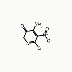 NC1=C([N+](=O)[O-])C(Cl)=NCC1=O